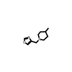 CC1CCN(Cc2cocn2)CC1